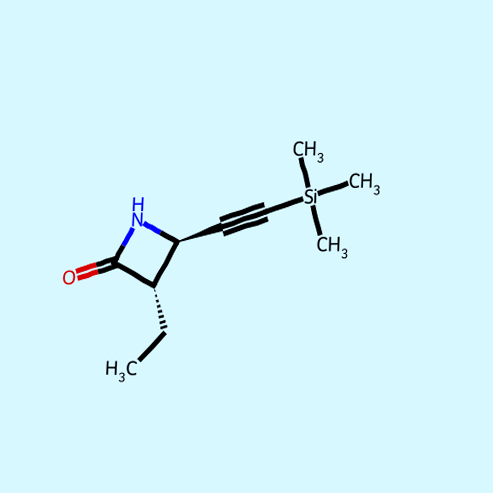 CC[C@@H]1C(=O)N[C@H]1C#C[Si](C)(C)C